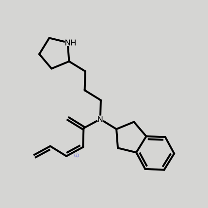 C=C/C=C\C(=C)N(CCCC1CCCN1)C1Cc2ccccc2C1